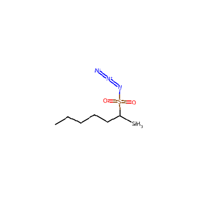 CCCCCC([SiH3])S(=O)(=O)N=[N+]=[N-]